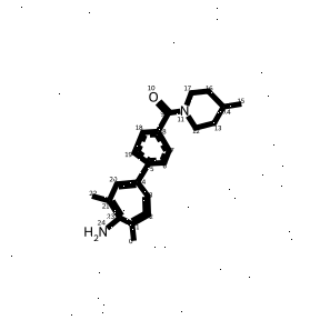 CC1=C=CC(c2ccc(C(=O)N3CCC(C)CC3)cc2)=CC(C)=C1N